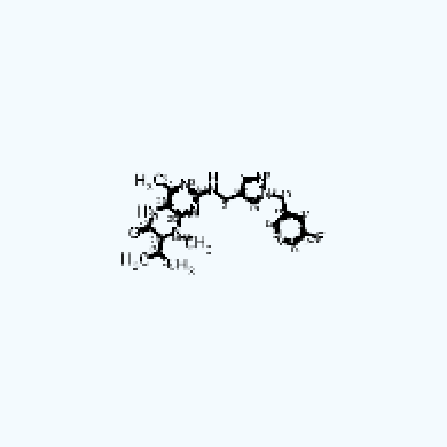 Cc1nc(NCc2cnn(Cc3cncc(F)c3)c2)nc2c1NC(=O)C(C(C)C)N2C